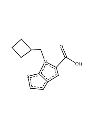 O=C(O)c1cc2ccsc2n1CC1CCC1